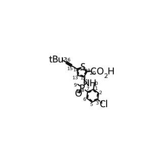 Cc1cc(Cl)ccc1P(C)(=O)Nc1cc(C#CC(C)(C)C)sc1C(=O)O